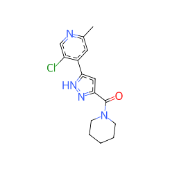 Cc1cc(-c2cc(C(=O)N3CCCCC3)n[nH]2)c(Cl)cn1